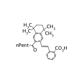 CCCCCC(=O)c1cc2c(cc1C=Cc1ccccc1C(=O)O)C(C)(C)CCC2(C)C